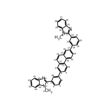 Cn1c(-c2cccc(-c3ccc4c(ccc5cc(-c6cccc(-c7nc8ccccc8n7C)c6)ccc54)c3)c2)nc2ccccc21